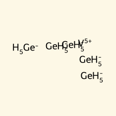 [GeH5-].[GeH5-].[GeH5-].[GeH5-].[GeH5-].[V+5]